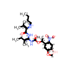 CCC/C=N\C(C(=O)N/C(NC(=O)OC(C)c1cc2c(cc1[N+](=O)[O-])BCO2)=C(/C)CC)=C(C)C